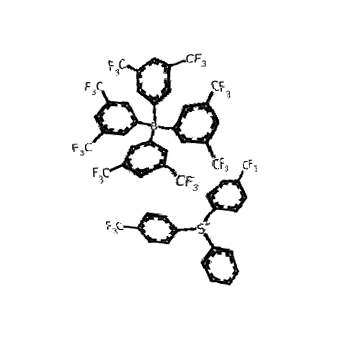 FC(F)(F)c1cc([B-](c2cc(C(F)(F)F)cc(C(F)(F)F)c2)(c2cc(C(F)(F)F)cc(C(F)(F)F)c2)c2cc(C(F)(F)F)cc(C(F)(F)F)c2)cc(C(F)(F)F)c1.FC(F)(F)c1ccc([S+](c2ccccc2)c2ccc(C(F)(F)F)cc2)cc1